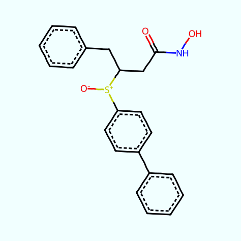 O=C(CC(Cc1ccccc1)[S+]([O-])c1ccc(-c2ccccc2)cc1)NO